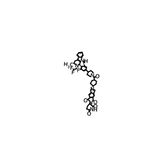 C[C@@H]1Cc2c([nH]c3ccccc23)[C@@H](c2c(F)cc(C3CCN(C(=O)C4CCC(N5Cc6cc7c(cc6C5)C(=O)N(C5CCC(=O)NC5=O)C7=O)CC4)CC3)cc2F)N1CC(F)F